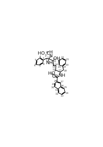 NC(Cc1ccccc1)(NC(=O)O)C(O)CCC(O)C(Cc1ccccc1)NC(=O)c1ccc2ccccc2c1